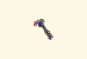 COC(=O)N[C@H]1CCC[C@@H]1[C@](CN1CCC1)(c1cccc(F)c1)C1CCN(CC2(F)CN(c3ccc(S(=O)(=O)c4ccc(C(=O)N(C)C)nc4)cc3)C2)CC1